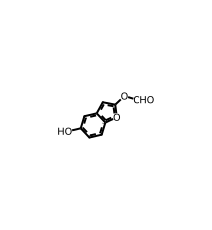 O=COc1cc2cc(O)ccc2o1